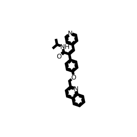 CC(C)NC(=O)C(=Cc1ccncc1)c1ccc(OCc2ccc3ccccc3n2)cc1